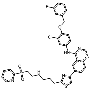 O=S(=O)(CCNCCCc1nc(-c2ccc3ncnc(Nc4ccc(OCc5cccc(F)c5)c(Cl)c4)c3c2)cs1)c1ccccn1